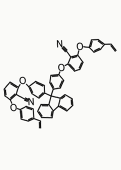 C=Cc1ccc(Oc2cccc(Oc3ccc(C4(c5ccc(Oc6cccc(Oc7ccc(C=C)cc7)c6C#N)cc5)c5ccccc5-c5ccccc54)cc3)c2C#N)cc1